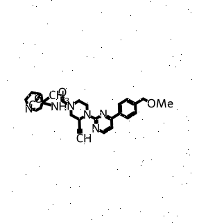 C#CC1CN(C(=O)NC2(C)CCN3CCC2CC3)CCN1c1nccc(-c2ccc(COC)cc2)n1